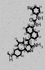 CNC1CC=C(c2cnc(N)c3c(-c4cccc5c(NC(=O)Nc6cccc(F)c6)cccc45)nc(C(C)C)n23)CC1